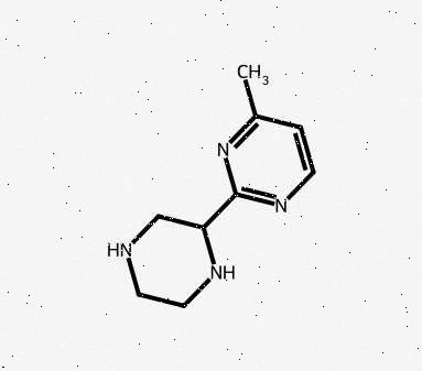 Cc1ccnc(C2CNCCN2)n1